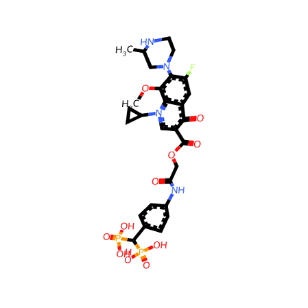 COc1c(N2CCNC(C)C2)c(F)cc2c(=O)c(C(=O)OCC(=O)Nc3ccc(C(P(=O)(O)O)P(=O)(O)O)cc3)cn(C3CC3)c12